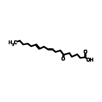 CCCCCC=CCC=CCCC(=O)CCCCC(=O)O